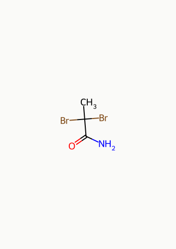 CC(Br)(Br)C(N)=O